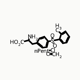 C=O.CCCCCCl.Cc1ccccc1S(=O)(=O)c1ccc(CC(N)C(=O)O)cc1